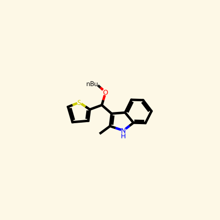 CCCCOC(c1cccs1)c1c(C)[nH]c2ccccc12